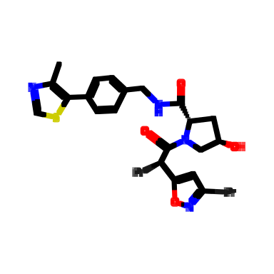 Cc1ncsc1-c1ccc(CNC(=O)[C@@H]2C[C@@H](O)CN2C(=O)[C@@H](c2cc(C(C)C)no2)C(C)C)cc1